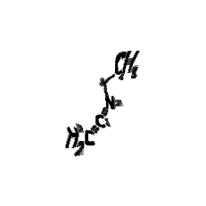 C=C=NCC